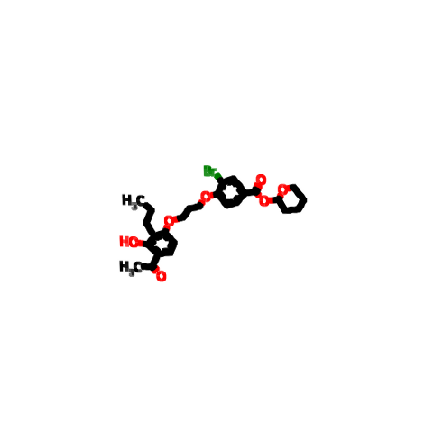 CCCc1c(OCCCOc2ccc(C(=O)OC3CCCCO3)cc2Br)ccc(C(C)=O)c1O